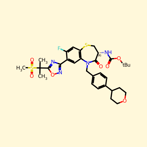 CC(C)(C)OC(=O)N[C@H]1CSc2cc(F)c(-c3noc(C(C)(C)S(C)(=O)=O)n3)cc2N(Cc2ccc(C3CCOCC3)cc2)C1=O